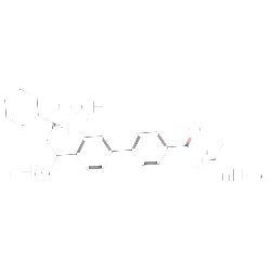 CCCCCCC(C[C@@](F)(C(=O)O)C1CCCCC1)c1ccc(-c2ccc(C(=O)O[C@H](C)CCCCCC)cc2)cc1